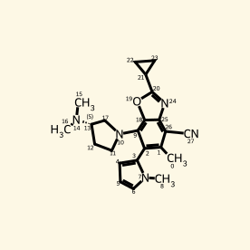 Cc1c(-c2cccn2C)c(N2CC[C@H](N(C)C)C2)c2oc(C3CC3)nc2c1C#N